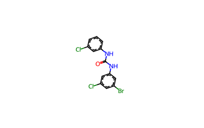 O=C(Nc1cccc(Cl)c1)Nc1cc(Cl)cc(Br)c1